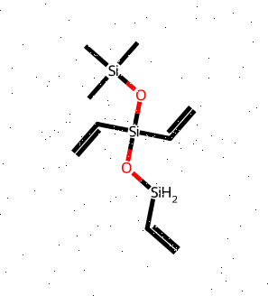 C=C[SiH2]O[Si](C=C)(C=C)O[Si](C)(C)C